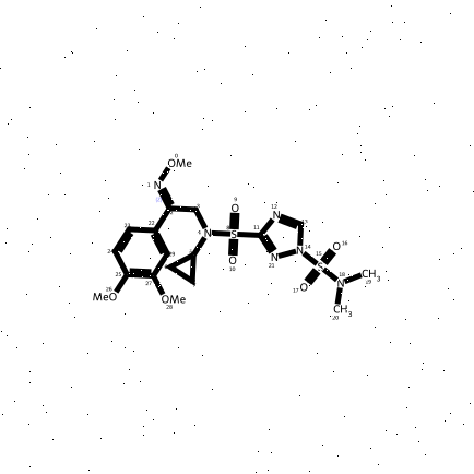 CO/N=C(\CN(C1CC1)S(=O)(=O)c1ncn(S(=O)(=O)N(C)C)n1)c1ccc(OC)c(OC)c1